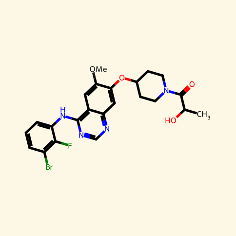 COc1cc2c(Nc3cccc(Br)c3F)ncnc2cc1OC1CCN(C(=O)C(C)O)CC1